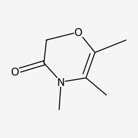 CC1=C(C)N(C)C(=O)CO1